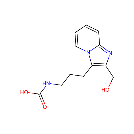 O=C(O)NCCCc1c(CO)nc2ccccn12